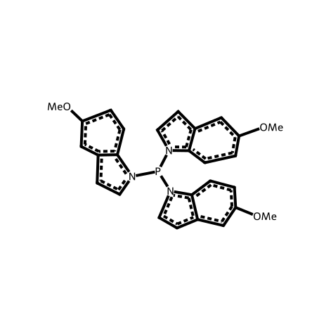 COc1ccc2c(ccn2P(n2ccc3cc(OC)ccc32)n2ccc3cc(OC)ccc32)c1